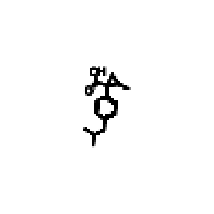 CC(C)Cc1ccc(C2(C(=O)O)CC2C)cc1